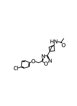 CC(=O)NC12CC(c3noc(COc4ccc(Cl)cc4)n3)(C1)C2